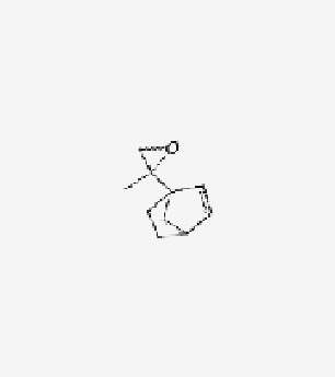 CC1(C23C=CC(CC2)C3)CO1